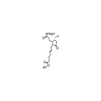 CCCCCCCC(=O)CC[C@@H]1C(CC=CCCCC(=O)OC(C)C)C(=O)C[C@H]1CI